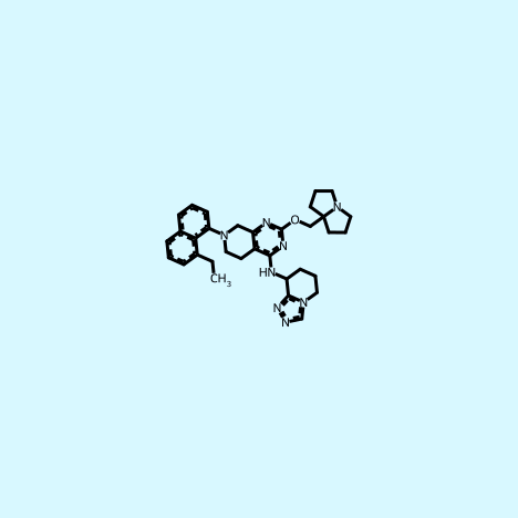 CCc1cccc2cccc(N3CCc4c(nc(OCC56CCCN5CCC6)nc4NC4CCCn5cnnc54)C3)c12